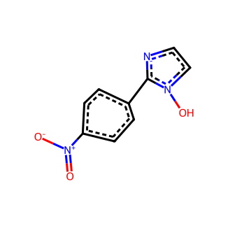 O=[N+]([O-])c1ccc(-c2nccn2O)cc1